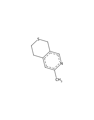 Cc1cc2c(cn1)CSCC2